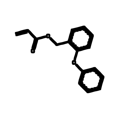 C=CC(=O)OCc1ccccc1Oc1ccccc1